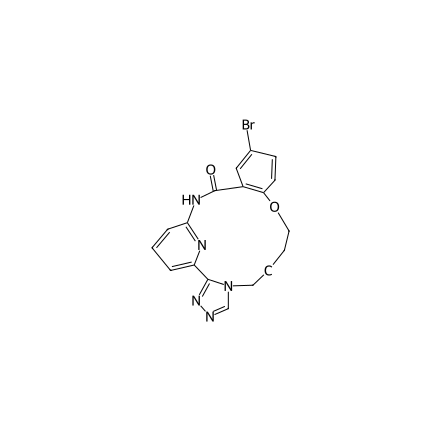 O=C1Nc2cccc(n2)-c2nncn2CCCCOc2ccc(Br)cc21